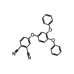 N#Cc1ccc(Oc2ccc(Oc3ccccc3)c(Oc3ccccc3)c2)cc1C#N